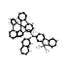 CCc1ccc2cccc3c2c1C1(c2ccccc2-c2ccc(N(c4ccc5c(c4)C(C)(C)c4ccccc4-5)c4ccc5ccccc5c4)cc21)c1ccccc1-3